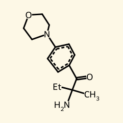 CCC(C)(N)C(=O)c1ccc(N2CCOCC2)cc1